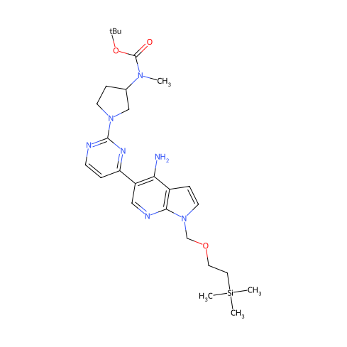 CN(C(=O)OC(C)(C)C)C1CCN(c2nccc(-c3cnc4c(ccn4COCC[Si](C)(C)C)c3N)n2)C1